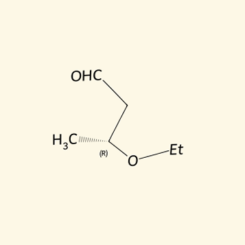 CCO[C@H](C)CC=O